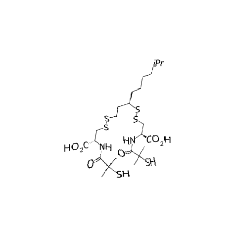 CC(C)CCCC[C@H](CCSSC[C@H](NC(=O)C(C)(C)S)C(=O)O)SSC[C@H](NC(=O)C(C)(C)S)C(=O)O